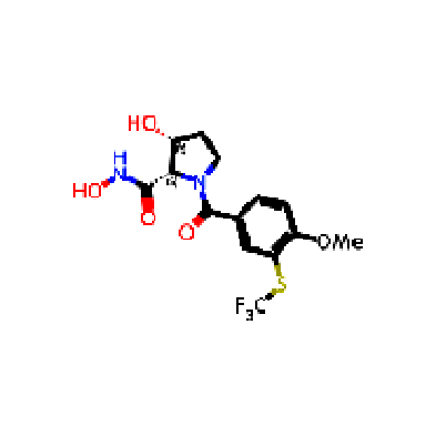 COc1ccc(C(=O)N2CC[C@@H](O)[C@H]2C(=O)NO)cc1SC(F)(F)F